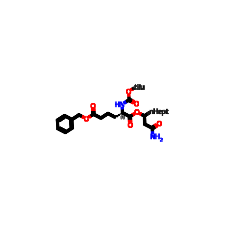 CCCCCCCC(CC(N)=O)OC(=O)[C@H](CCCC(=O)OCc1ccccc1)NC(=O)OC(C)(C)C